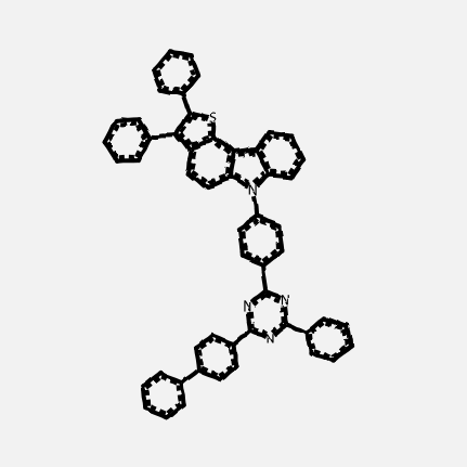 c1ccc(-c2ccc(-c3nc(-c4ccccc4)nc(-c4ccc(-n5c6ccccc6c6c7sc(-c8ccccc8)c(-c8ccccc8)c7ccc65)cc4)n3)cc2)cc1